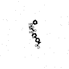 COC(=O)[C@@H]1CC12CCC(c1ccc(NC(=O)c3nnc(Nc4ccccc4)o3)cn1)CC2